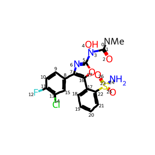 CNC(=O)N(O)c1nc(-c2ccc(F)c(Cl)c2)c(-c2ccccc2S(N)(=O)=O)o1